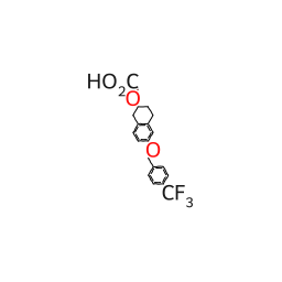 O=C(O)COC1CCc2cc(OCc3ccc(C(F)(F)F)cc3)ccc2C1